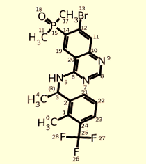 Cc1c([C@@H](C)Nc2ncnc3cc(Br)c(P(C)(C)=O)cc23)cccc1C(F)(F)F